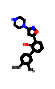 CC(=O)Nc1ccc(-c2cccc(-c3cc(N4CCNCC4)no3)c2O)cc1C